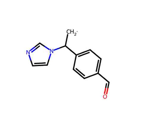 [CH2]C(c1ccc(C=O)cc1)n1ccnc1